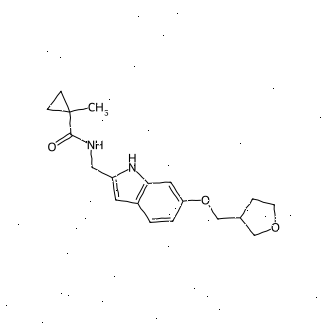 CC1(C(=O)NCc2cc3ccc(OCC4CCOC4)cc3[nH]2)CC1